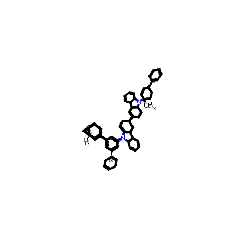 CC1(N2C3C=CC=CC3C3C=C(C4CC=C5C(C4)C4C=CC=CC4N5c4cc(C5=C[C@H]6C=C6CC5)cc([C@@H]5CC=CCC5)c4)CCC32)C=CC(c2ccccc2)CC1